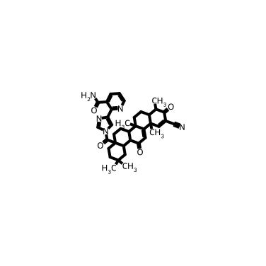 CC1C(=O)C(C#N)=CC2(C)C3=CC(=O)C4C(CCC5(C(=O)n6cnc(-c7ncccc7C(N)=O)c6)CCC(C)(C)CC45)C3(C)CCC12